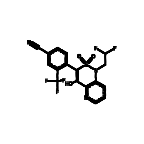 N#Cc1ccc(C2=C(O)c3ncccc3N(CC(F)F)S2(=O)=O)c(C(F)(F)F)c1